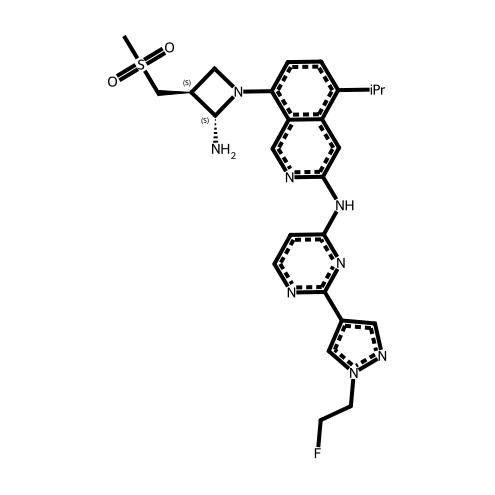 CC(C)c1ccc(N2C[C@H](CS(C)(=O)=O)[C@H]2N)c2cnc(Nc3ccnc(-c4cnn(CCF)c4)n3)cc12